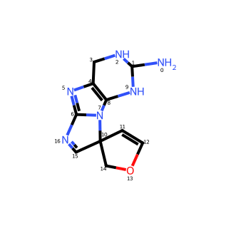 NC1NCc2nc3n(c2N1)C1(C=COC1)C=N3